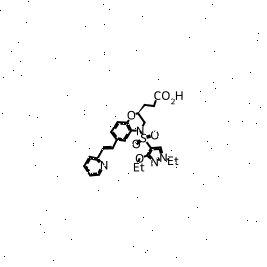 CCOc1nn(CC)cc1S(=O)(=O)N1C[C@H](CCC(=O)O)Oc2ccc(/C=C/c3ccccn3)cc21